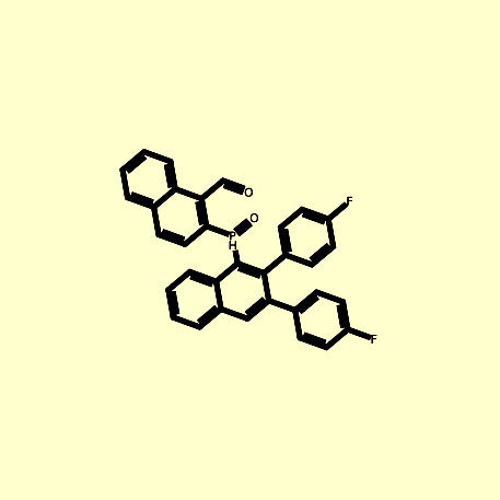 O=Cc1c([PH](=O)c2c(-c3ccc(F)cc3)c(-c3ccc(F)cc3)cc3ccccc23)ccc2ccccc12